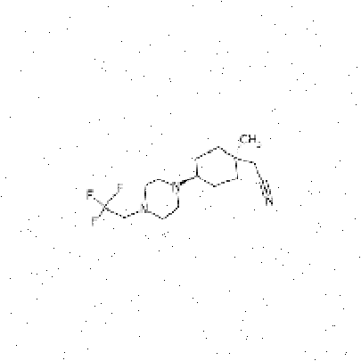 C[C@]1(CC#N)CC[C@@H](N2CCN(CC(F)(F)F)CC2)CC1